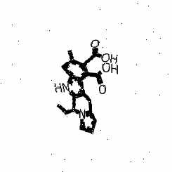 CCC1c2[nH]c3cc(C)c(C(=O)O)c(C(=O)O)c3c2Cc2cccn21